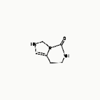 O=C1NCCC2=CNCN12